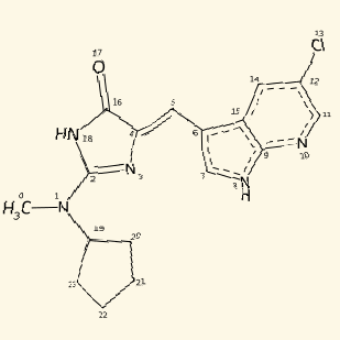 CN(C1=N/C(=C\c2c[nH]c3ncc(Cl)cc23)C(=O)N1)C1CCCC1